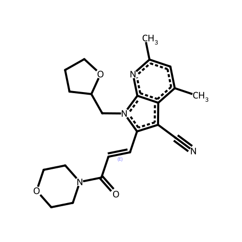 Cc1cc(C)c2c(C#N)c(/C=C/C(=O)N3CCOCC3)n(CC3CCCO3)c2n1